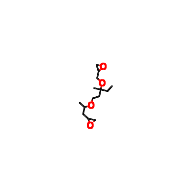 CCC(C)(CCOC(C)CC1CO1)OCC1CO1